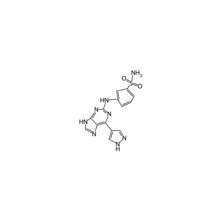 NS(=O)(=O)c1cccc(Nc2nc(-c3cn[nH]c3)c3nc[nH]c3n2)c1